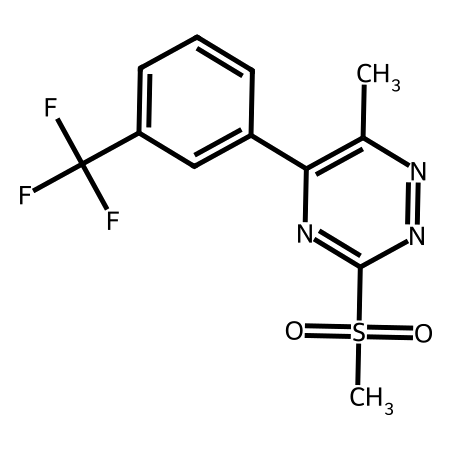 Cc1nnc(S(C)(=O)=O)nc1-c1cccc(C(F)(F)F)c1